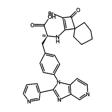 O=C(O)[C@H](Cc1ccc(-n2c(-c3cccnc3)nc3cnccc32)cc1)NC1=C(Br)C(=O)C12CCCCC2